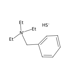 CC[N+](CC)(CC)Cc1ccccc1.[SH-]